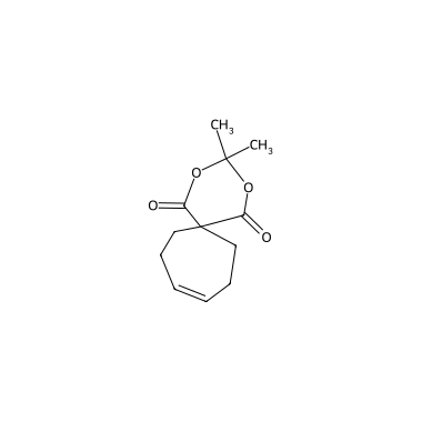 CC1(C)OC(=O)C2(CCC=CCC2)C(=O)O1